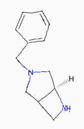 c1ccc(CN2CC3CN[C@@H]3C2)cc1